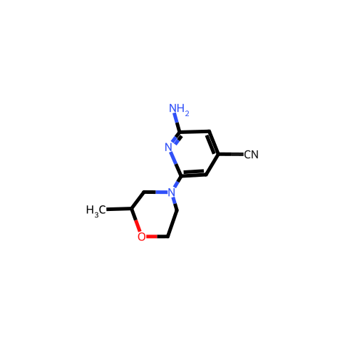 CC1CN(c2cc(C#N)cc(N)n2)CCO1